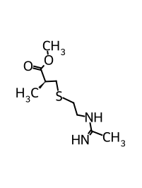 COC(=O)[C@H](C)CSCCNC(C)=N